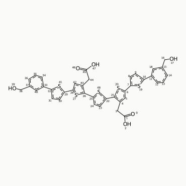 O=C(O)Cc1cc(-c2ccc(-c3cccc(CO)c3)s2)sc1-c1ccc(-c2sc(-c3ccc(-c4cccc(CO)c4)s3)cc2CC(=O)O)s1